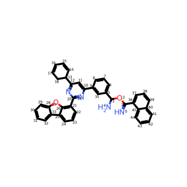 N=C(OC(N)c1cccc(-c2cc(C3C=CC=CC3)nc(-c3cccc4c3oc3ccccc34)n2)c1)c1cccc2ccccc12